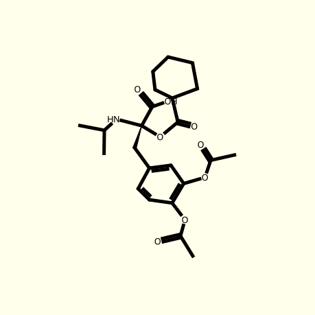 CC(=O)Oc1ccc(C[C@](NC(C)C)(OC(=O)C2CCCCC2)C(=O)O)cc1OC(C)=O